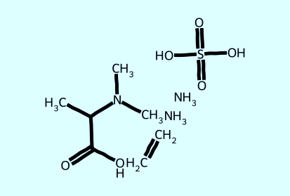 C=C.CC(C(=O)O)N(C)C.N.N.O=S(=O)(O)O